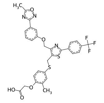 Cc1nc(-c2cccc(OCc3nc(-c4ccc(C(F)(F)F)cc4)sc3CSc3ccc(OCC(=O)O)c(C)c3)c2)no1